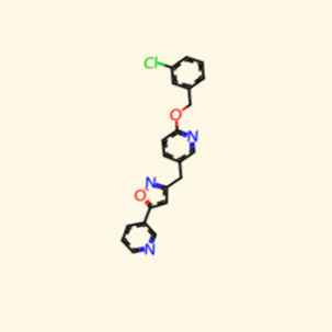 Clc1cccc(COc2ccc(Cc3cc(-c4cccnc4)on3)cn2)c1